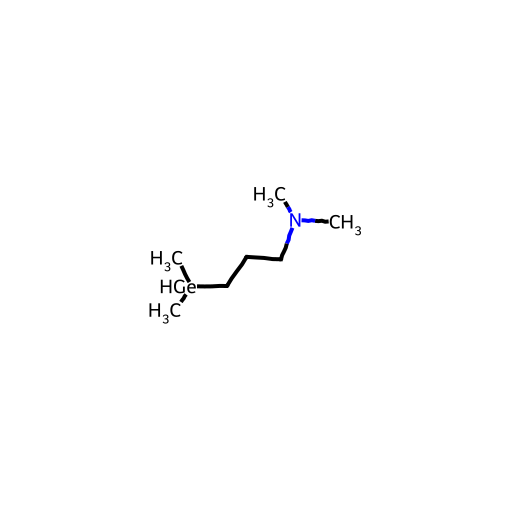 CN(C)CC[CH2][GeH]([CH3])[CH3]